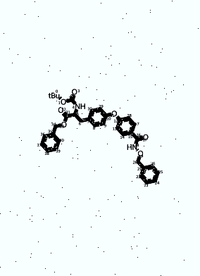 CC(C)(C)OC(=O)NC(Cc1ccc(Oc2ccc(C(=O)NOCc3ccccc3)cc2)cc1)C(=O)OCc1ccccc1